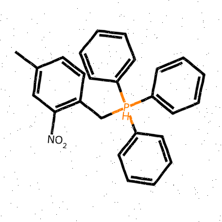 Cc1ccc(C[PH](c2ccccc2)(c2ccccc2)c2ccccc2)c([N+](=O)[O-])c1